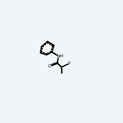 CC(F)C(=O)Nc1ccccc1